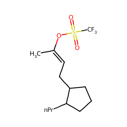 CCCC1CCCC1C/C=C(\C)OS(=O)(=O)C(F)(F)F